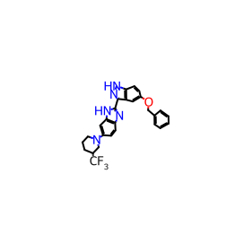 FC(F)(F)C1CCCN(c2ccc3nc(-c4n[nH]c5ccc(OCc6ccccc6)cc45)[nH]c3c2)C1